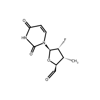 C[C@H]1[C@@H](F)[C@H](n2ccc(=O)[nH]c2=O)O[C@@H]1C=O